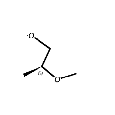 CO[C@@H](C)C[O]